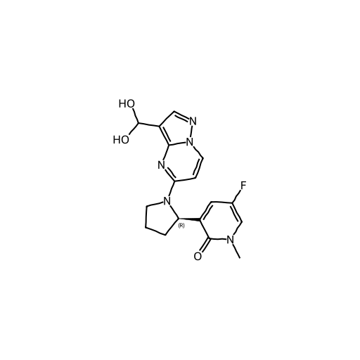 Cn1cc(F)cc([C@H]2CCCN2c2ccn3ncc(C(O)O)c3n2)c1=O